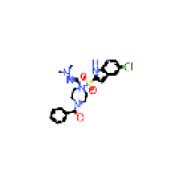 CN(C)N=C[N+]1(S(=O)(=O)c2cc3cc(Cl)ccc3[nH]2)CCN(C(=O)c2ccccc2)CC1